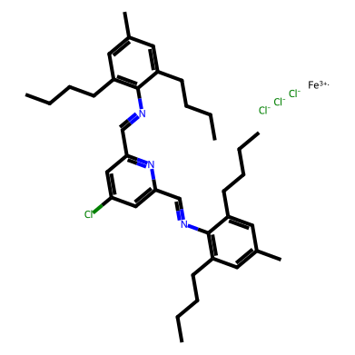 CCCCc1cc(C)cc(CCCC)c1N=Cc1cc(Cl)cc(C=Nc2c(CCCC)cc(C)cc2CCCC)n1.[Cl-].[Cl-].[Cl-].[Fe+3]